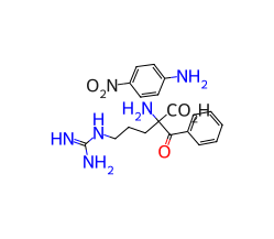 N=C(N)NCCCC(N)(C(=O)O)C(=O)c1ccccc1.Nc1ccc([N+](=O)[O-])cc1